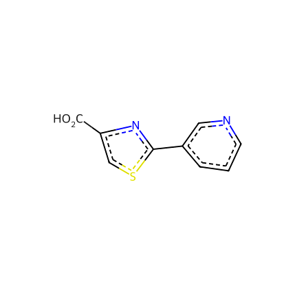 O=C(O)c1csc(-c2cccnc2)n1